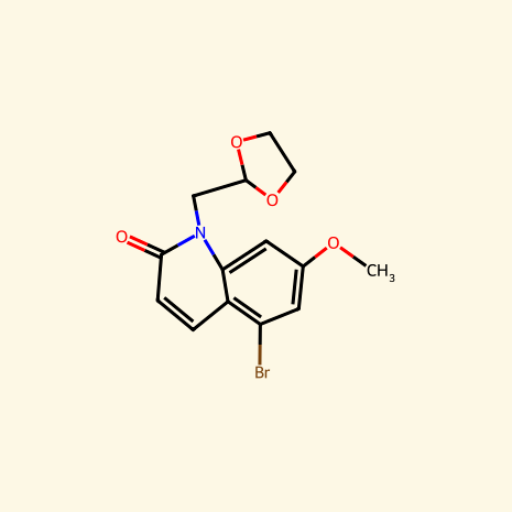 COc1cc(Br)c2ccc(=O)n(CC3OCCO3)c2c1